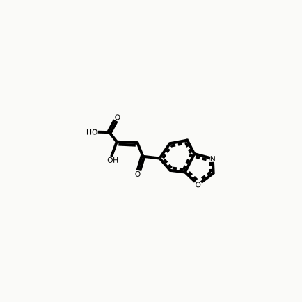 O=C(O)/C(O)=C/C(=O)c1ccc2ncoc2c1